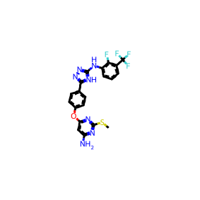 CSc1nc(N)cc(Oc2ccc(-c3nnc(Nc4cccc(C(F)(F)F)c4F)[nH]3)cc2)n1